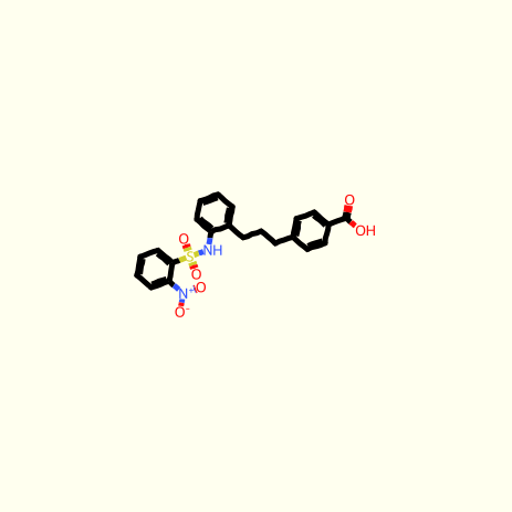 O=C(O)c1ccc(CCCc2ccccc2NS(=O)(=O)c2ccccc2[N+](=O)[O-])cc1